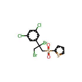 O=S(=O)(CC(Br)(CBr)c1cc(Cl)cc(Cl)c1)c1cccs1